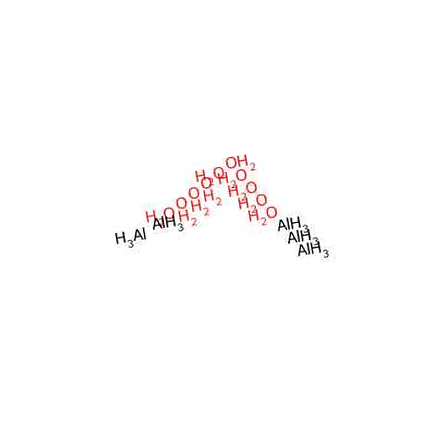 O.O.O.O.O.O.O.O.O.O.[AlH3].[AlH3].[AlH3].[AlH3].[AlH3]